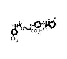 O=C(Nc1ccc(C(F)(F)F)cc1)OCCC(Sc1ccc(NC(=O)c2cccc(F)c2F)cc1)C(=O)O